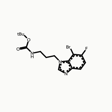 CC(C)(C)OC(=O)NCCCn1cnc2ccc(F)c(Br)c21